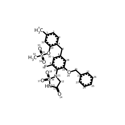 Cc1ccc(Cc2cc(F)c(N3CC(=O)NS3(=O)=O)c(OCc3ccccc3)c2)c(OS(C)(=O)=O)c1